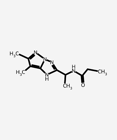 CCC(=O)NC(C)c1nn2nc(C)c(C)c2[nH]1